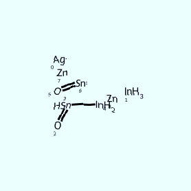 [Ag].[InH3].[O]=[SnH][InH2].[O]=[Sn].[Zn].[Zn]